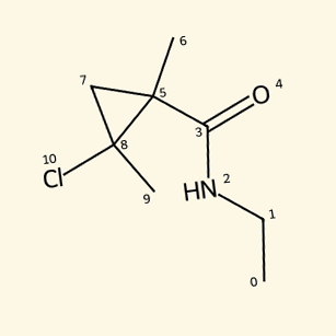 CCNC(=O)C1(C)CC1(C)Cl